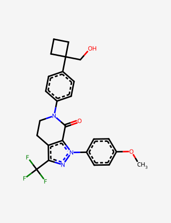 COc1ccc(-n2nc(C(F)(F)F)c3c2C(=O)N(c2ccc(C4(CO)CCC4)cc2)CC3)cc1